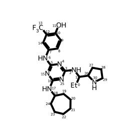 CCC(Nc1nc(Nc2ccc(O)c(C(F)(F)F)c2)nc(NC2CCCCCC2)n1)C1CCCN1